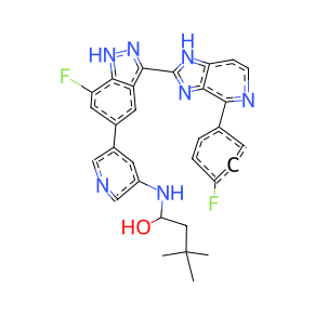 CC(C)(C)CC(O)Nc1cncc(-c2cc(F)c3[nH]nc(-c4nc5c(-c6ccc(F)cc6)nccc5[nH]4)c3c2)c1